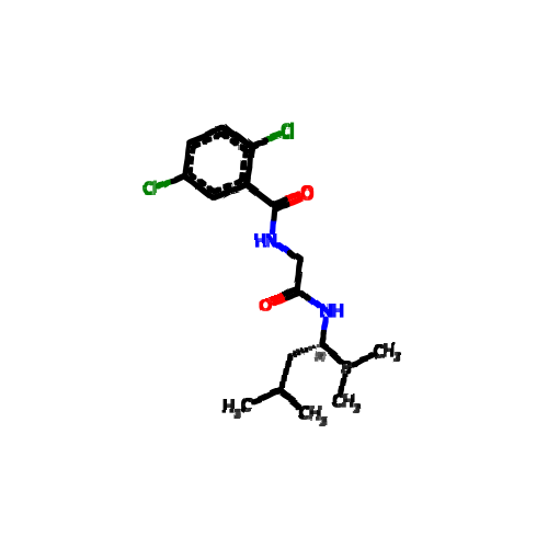 CB(C)[C@H](CC(C)C)NC(=O)CNC(=O)c1cc(Cl)ccc1Cl